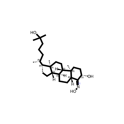 C[C@H](CCCC(C)(C)O)[C@H]1CC[C@H]2[C@@H]3CC[C@H]4/C(=N\O)[C@@H](O)CC[C@]4(C)[C@H]3CC[C@]12C